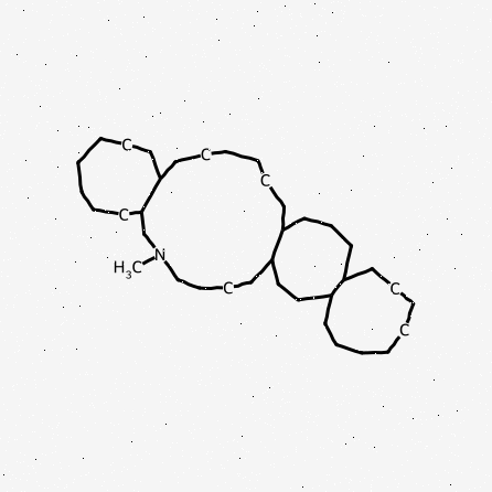 CN1CCCCC2CCC3CCCCCCCCC3CCCC2CCCCCCC2CCCCCCCC2C1